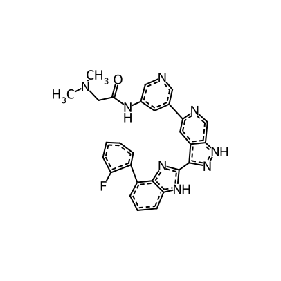 CN(C)CC(=O)Nc1cncc(-c2cc3c(-c4nc5c(-c6ccccc6F)cccc5[nH]4)n[nH]c3cn2)c1